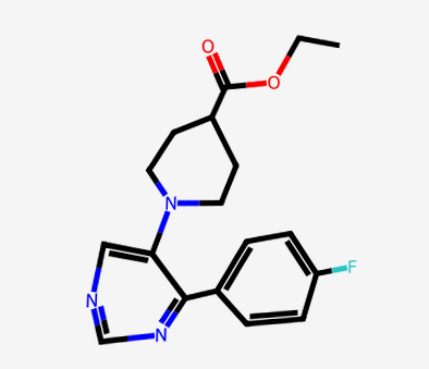 CCOC(=O)C1CCN(c2cncnc2-c2ccc(F)cc2)CC1